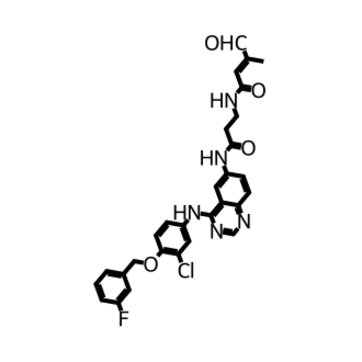 CC(C=O)=CC(=O)NCCC(=O)Nc1ccc2ncnc(Nc3ccc(OCc4cccc(F)c4)c(Cl)c3)c2c1